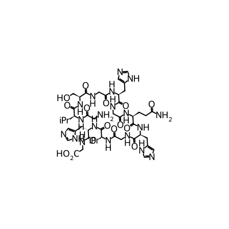 CC(C)[C@H](NC(=O)CN)C(=O)N[C@@H](CO)C(=O)NCC(=O)N[C@@H](Cc1cnc[nH]1)C(=O)NCC(=O)N[C@@H](CCC(N)=O)C(=O)N[C@@H](Cc1cnc[nH]1)C(=O)NCC(=O)N[C@H](C(=O)N[C@@H](Cc1cnc[nH]1)C(=O)NCC(=O)O)C(C)C